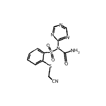 N#CCSc1ccccc1S(=O)(=O)N(C(N)=O)c1ncncn1